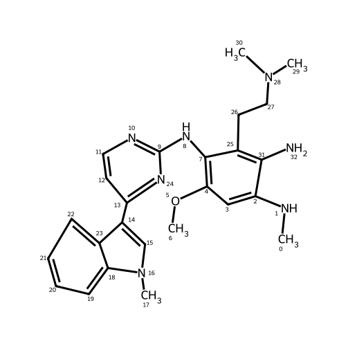 CNc1cc(OC)c(Nc2nccc(-c3cn(C)c4ccccc34)n2)c(CCN(C)C)c1N